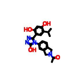 CC(=O)N1Cc2ccc(-n3c(O)nnc3-c3cc(C(C)C)c(O)cc3O)cc2C1